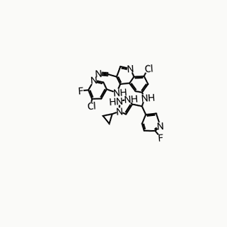 N#Cc1cnc2c(Cl)cc(NC(C3=CN(C4CC4)NN3)c3ccc(F)nc3)cc2c1Nc1cnc(F)c(Cl)c1